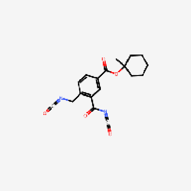 CC1(OC(=O)c2ccc(CN=C=O)c(C(=O)N=C=O)c2)CCCCC1